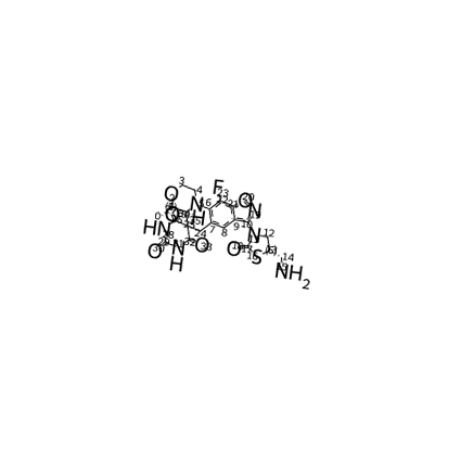 C[C@@H]1OCCN2c3c(cc4c(N5C[C@H](CN)SC5=O)noc4c3F)CC3(C(=O)NC(=O)NC3=O)[C@@H]12